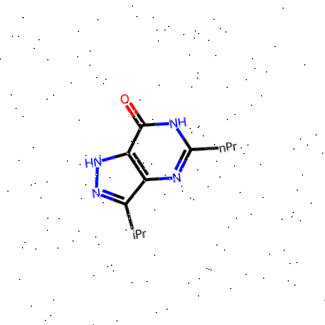 CCCc1nc2c(C(C)C)n[nH]c2c(=O)[nH]1